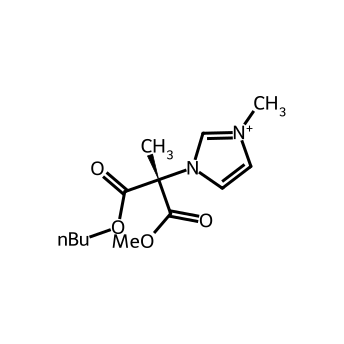 CCCCOC(=O)[C@@](C)(C(=O)OC)n1cc[n+](C)c1